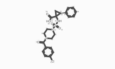 O=C(c1ccc(Cl)cc1)N1CCN(S(=O)(=O)NC2(C(=O)O)C[C@H]2c2ccccc2)CC1